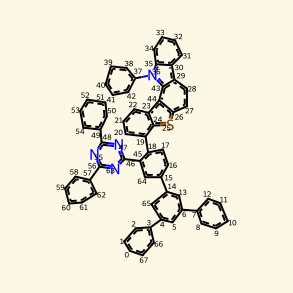 c1ccc(-c2cc(-c3ccccc3)cc(-c3ccc(-c4cccc5c4sc4ccc6c7ccccc7n(-c7ccccc7)c6c45)c(-c4nc(-c5ccccc5)nc(-c5ccccc5)n4)c3)c2)cc1